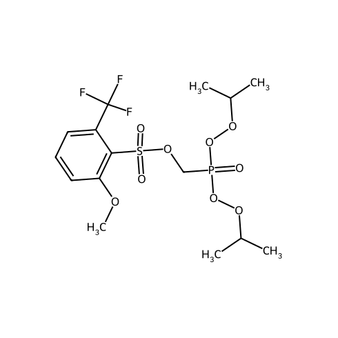 COc1cccc(C(F)(F)F)c1S(=O)(=O)OCP(=O)(OOC(C)C)OOC(C)C